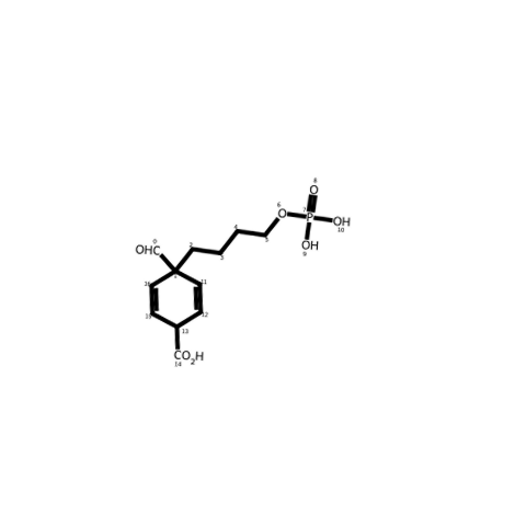 O=CC1(CCCCOP(=O)(O)O)C=CC(C(=O)O)C=C1